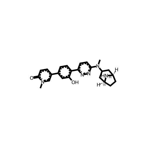 CN(c1ccc(-c2ccc(-c3ccc(=O)n(C)c3)cc2O)nn1)C1C[C@H]2CC[C@@H](C1)N2